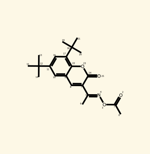 CC(=O)O/N=C(\C)c1cc2cc(C(C)(C)C)cc(C(C)(C)C)c2oc1=O